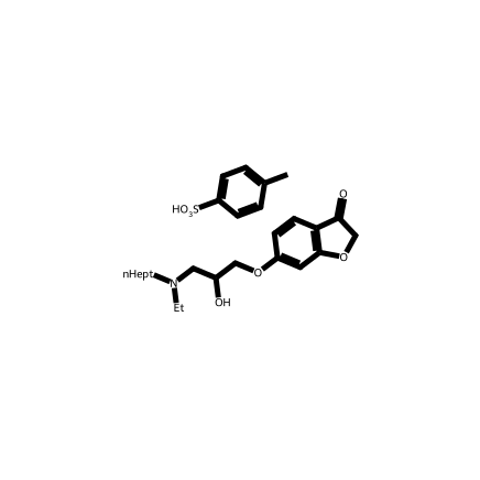 CCCCCCCN(CC)CC(O)COc1ccc2c(c1)OCC2=O.Cc1ccc(S(=O)(=O)O)cc1